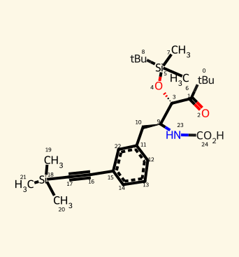 CC(C)(C)C(=O)[C@@H](O[Si](C)(C)C(C)(C)C)[C@H](Cc1cccc(C#C[Si](C)(C)C)c1)NC(=O)O